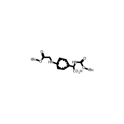 CC(C)(C)OC(=O)CNc1ccc(C(NC(=O)OC(C)(C)C)C(=O)O)cc1